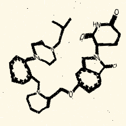 CC(C)CN1CCN(c2ccccc2CN2CCCCC2COc2ccc3c(c2)CN(C2CCC(=O)NC2=O)C3=O)CC1